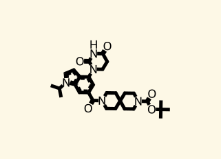 CC(C)n1ccc2c(N3CCC(=O)NC3=O)cc(C(=O)N3CCC4(CCN(C(=O)OC(C)(C)C)CC4)CC3)cc21